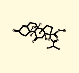 CC(C)OC(=O)C1(OC(=O)C(Cl)Cl)CC[C@H]2[C@@H]3CCC4=CC(=O)CC[C@]4(C)[C@@H]3C(=O)C[C@@]21C